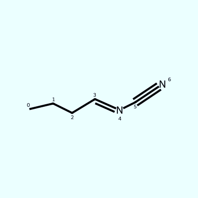 CCCC=NC#N